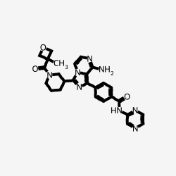 CC1(C(=O)N2CCCC(c3nc(-c4ccc(C(=O)Nc5cnccn5)cc4)c4c(N)nccn34)C2)COC1